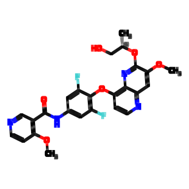 COc1ccncc1C(=O)Nc1cc(F)c(Oc2ccnc3cc(OC)c(O[C@@H](C)CO)nc23)c(F)c1